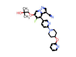 CC(C)(O)COc1cn2ncc(C#N)c2c(-c2ccc(N3CCC(Oc4ccccn4)CC3)nc2)c1F